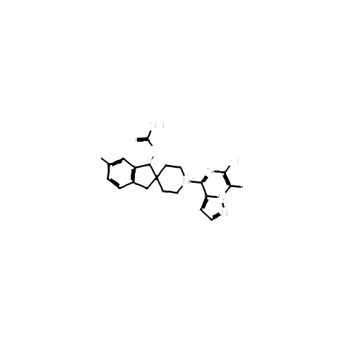 Cc1nc(N2CCC3(CC2)Cc2ccc(F)cc2[C@H]3OC(N)=O)c2ccnn2c1Br